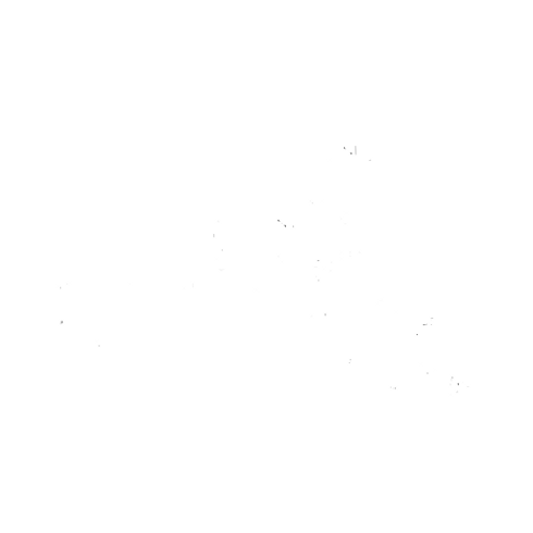 NCC(=O)NC(CC(=O)OCc1ccccc1)C(=O)Oc1ccc([N+](=O)[O-])cc1